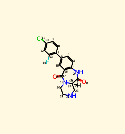 O=C1Nc2ccc(-c3ccc(Cl)cc3F)cc2C(=O)N2CCNC[C@@H]12